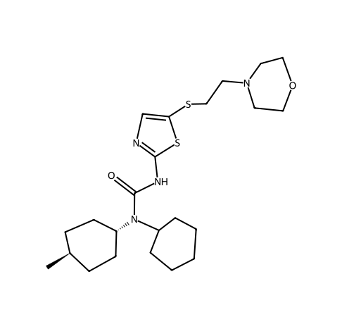 C[C@H]1CC[C@H](N(C(=O)Nc2ncc(SCCN3CCOCC3)s2)C2CCCCC2)CC1